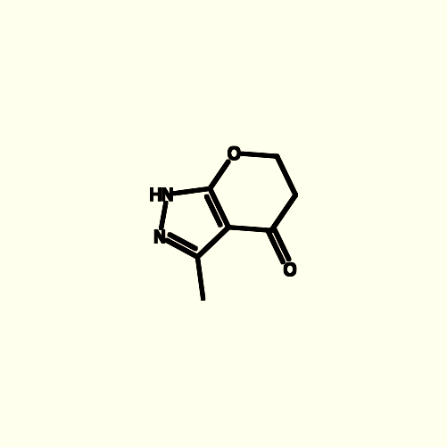 Cc1n[nH]c2c1C(=O)CCO2